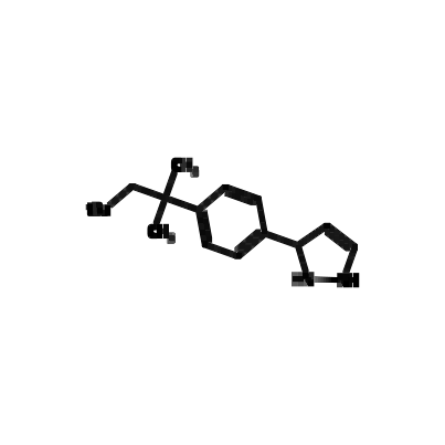 CC(C)(C)CC(C)(C)c1ccc(C2C=CNN2)cc1